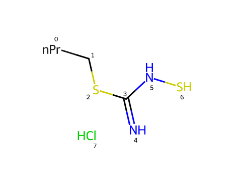 CCCCSC(=N)NS.Cl